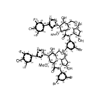 CO[C@@H]1[C@@H](n2cc(-c3cc(F)c(Cl)c(F)c3)nn2)[C@@H](O)[C@@H](CO)O[C@H]1C(=O)N(c1cc(Br)cc(Br)c1)[C@@H]1CN(C(C)=O)C[C@H]1O.CO[C@@H]1[C@@H](n2cc(-c3cc(F)c(Cl)c(F)c3)nn2)[C@@H](O)[C@@H](CO)O[C@H]1C(=O)N(c1cc(Br)cc(Br)c1)[C@H]1CN(C(C)=O)C[C@@H]1O